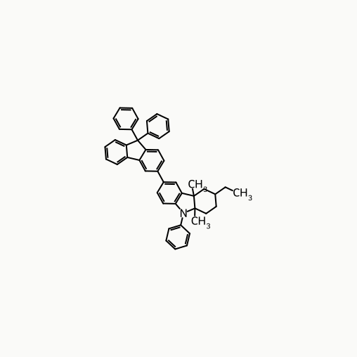 CCC1CCC2(C)N(c3ccccc3)c3ccc(-c4ccc5c(c4)-c4ccccc4C5(c4ccccc4)c4ccccc4)cc3C2(C)C1